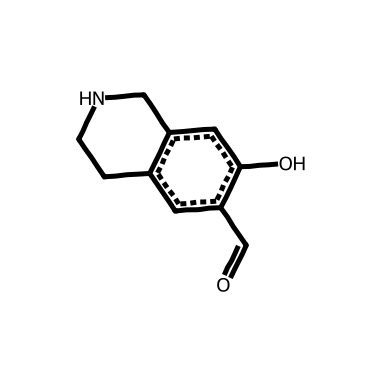 O=Cc1cc2c(cc1O)CNCC2